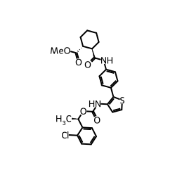 COC(=O)[C@@H]1CCCC[C@H]1C(=O)Nc1ccc(-c2sccc2NC(=O)O[C@H](C)c2ccccc2Cl)cc1